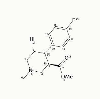 COC(=O)[C@H]1CN(C)CC[C@@H]1c1ccc(F)cc1.I